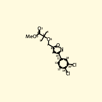 COC(=O)C(C)(C)OCc1cc(-c2ccc(Cl)c(Cl)c2)no1